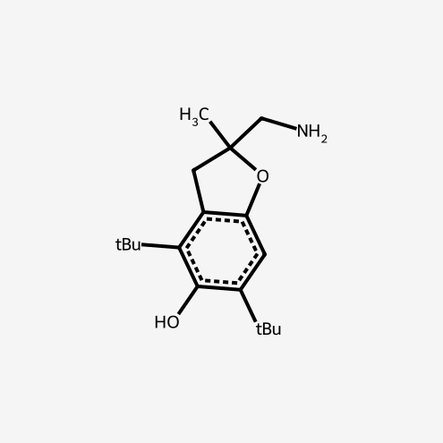 CC1(CN)Cc2c(cc(C(C)(C)C)c(O)c2C(C)(C)C)O1